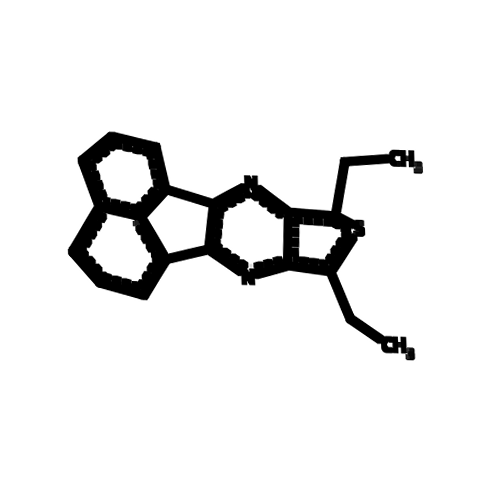 CCc1sc(CC)c2nc3c(nc12)-c1cccc2cccc-3c12